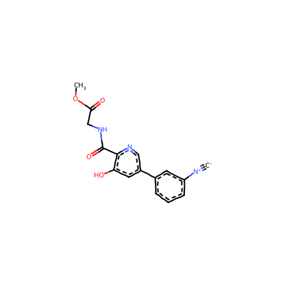 [C-]#[N+]c1cccc(-c2cnc(C(=O)NCC(=O)OC)c(O)c2)c1